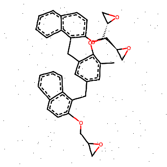 Cc1cc(Cc2c(OCC3CO3)ccc3ccccc23)cc(Cc2c(OC[C@@H]3CO3)ccc3ccccc23)c1OC[C@@H]1CO1